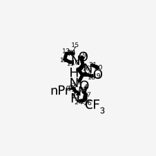 CCC[C@@H](NC(=O)c1cc(C(=O)N2CCC[C@@H]2C)n2c1COCC2)c1ncc(C(F)(F)F)cn1